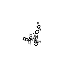 O=C(CN(CC(=O)NC1Cc2ccccc2C1)C(=O)c1cc2ccccc2[nH]1)Nc1ccc(Oc2ccc(F)cc2)cc1